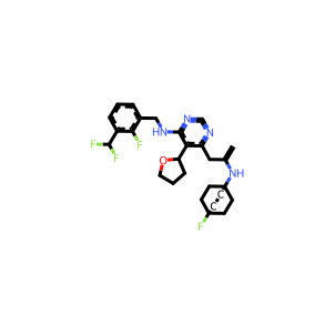 C=C(Cc1ncnc(NCc2cccc(C(F)F)c2F)c1C1CCCO1)NC12CCC(F)(CC1)CC2